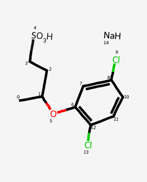 CC(CCS(=O)(=O)O)Oc1cc(Cl)ccc1Cl.[NaH]